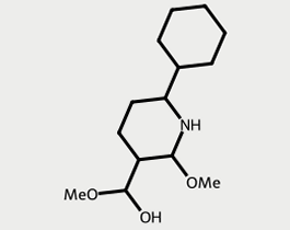 COC(O)C1CCC(C2CCCCC2)NC1OC